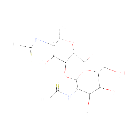 CC(=S)NC1C(OC2C(CO)OC(C(C)(C)C)C(NC(C)=S)C2O)OC(CO)C(O)C1O